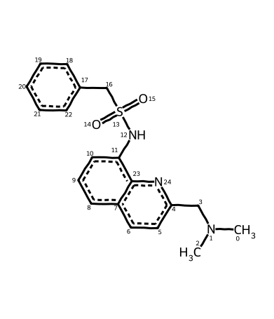 CN(C)Cc1ccc2cccc(NS(=O)(=O)Cc3ccccc3)c2n1